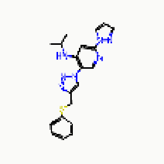 CC(C)Nc1cc(-n2cccn2)ncc1-n1cc(CSc2ccccc2)nn1